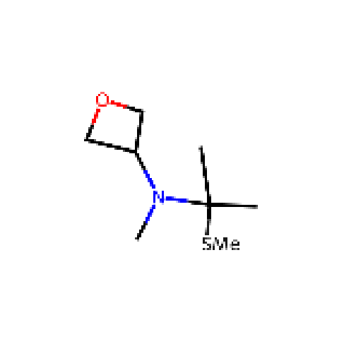 CSC(C)(C)N(C)C1COC1